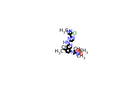 CC(C)c1ccc(N2C[C@H](N(C)S(C)(=O)=O)[C@H]2C)c2cnc(Nc3ccnc(-c4cn(C)nc4Cl)n3)cc12